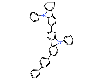 c1ccc(-c2ccc(-c3ccc4c(c3)c3ccc(-c5ccc6c7ccccc7n(-c7ccccc7)c6c5)cc3n4-c3ccccc3)cc2)cc1